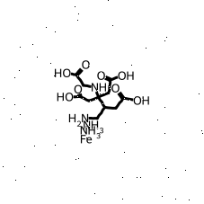 N.N.NCC(CC(=O)O)C(CC(=O)O)(CC(=O)O)NCC(=O)O.[Fe]